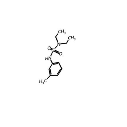 CCN(CC)S(=O)(=O)Nc1cccc(C)c1